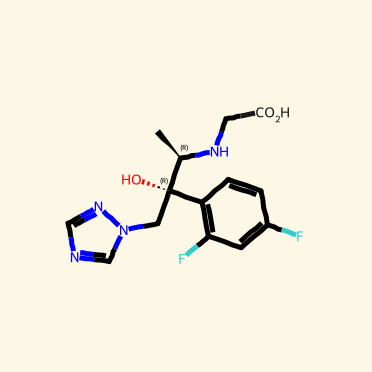 C[C@@H](NCC(=O)O)[C@](O)(Cn1cncn1)c1ccc(F)cc1F